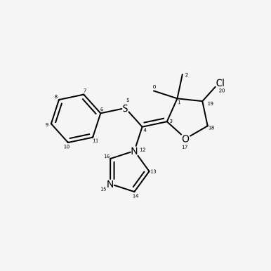 CC1(C)C(=C(Sc2ccccc2)n2ccnc2)OCC1Cl